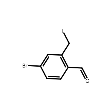 O=Cc1ccc(Br)cc1CI